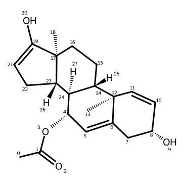 CC(=O)O[C@H]1C=C2C[C@@H](O)C=C[C@]2(C)[C@H]2CC[C@]3(C)C(O)=CC[C@H]3[C@H]12